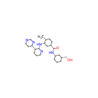 Cc1ccc(C(=O)Nc2cccc(CO)c2)cc1Nc1ncccc1-c1ccncn1